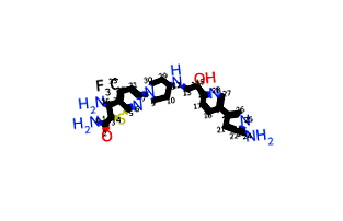 NC(=O)C1Sc2nc(N3CCC(NCC(O)c4ccc(-c5ccc(N)nc5)cn4)CC3)cc(C(F)(F)F)c2C1N